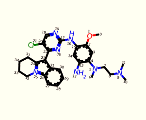 COc1cc(N(C)CCN(C)C)c(N)cc1Nc1ncc(Cl)c(-c2c3n(c4ccccc24)CCCC3)n1